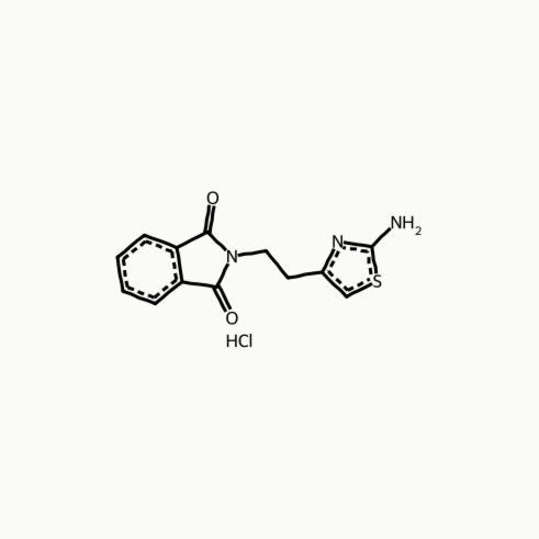 Cl.Nc1nc(CCN2C(=O)c3ccccc3C2=O)cs1